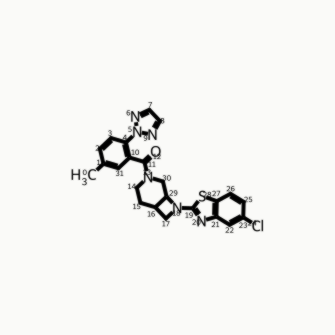 Cc1ccc(-n2nccn2)c(C(=O)N2CCC3CN(c4nc5cc(Cl)ccc5s4)C3C2)c1